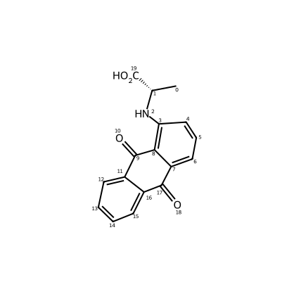 C[C@H](Nc1cccc2c1C(=O)c1ccccc1C2=O)C(=O)O